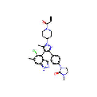 C=CC(=O)N1CCC(n2nc(-c3ccc(N4CCN(C)C4=O)cc3)c(-c3c(Cl)c(C)cc4[nH]ncc34)c2C)CC1